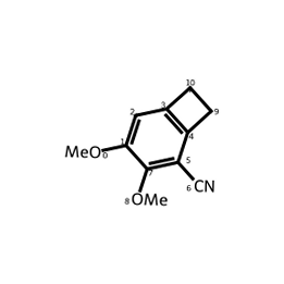 COc1cc2c(c(C#N)c1OC)C[CH]2